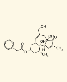 CC1=C[C@@H]2C(O)(CC(CO)=CC3C[C@@H](OC(=O)Cc4ccccc4)C[C@@H](C)[C@@]32O)C1=O